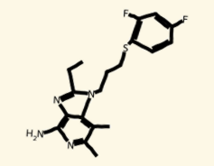 CCc1nc2c(N)nc(C)c(C)c2n1CCCSc1ccc(F)cc1F